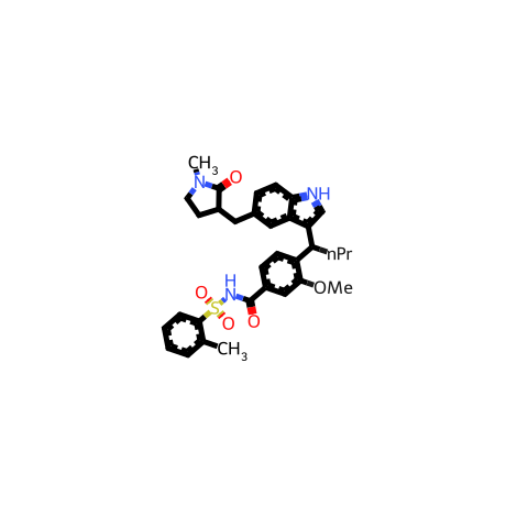 CCCC(c1ccc(C(=O)NS(=O)(=O)c2ccccc2C)cc1OC)c1c[nH]c2ccc(CC3CCN(C)C3=O)cc12